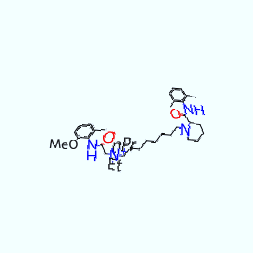 CCC[N+](CC)(CCCCCCCCN1CCCCC1C(=O)Nc1c(C)cccc1C)CC(=O)Nc1c(C)cccc1OC